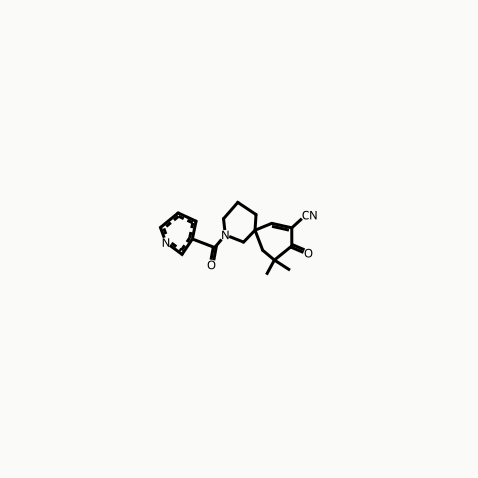 CC1(C)CC2(C=C(C#N)C1=O)CCCN(C(=O)c1cccnc1)C2